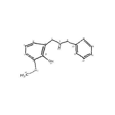 COc1cccc(CNCc2ccccc2)c1O